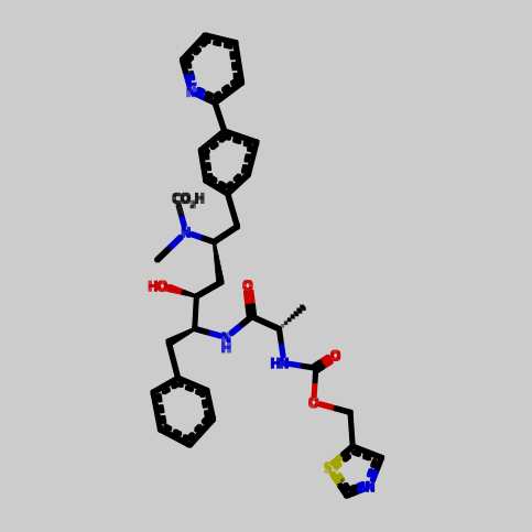 C[C@H](NC(=O)OCc1cncs1)C(=O)N[C@@H](Cc1ccccc1)[C@@H](O)C[C@H](Cc1ccc(-c2ccccn2)cc1)N(C)C(=O)O